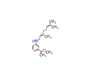 C=C(OC)c1cccc(NC/C=C(\C)CCC=C(C)C)c1